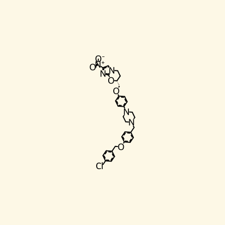 O=[N+]([O-])c1cn2c(n1)O[C@@H](COc1ccc(N3CCN(Cc4ccc(OCc5ccc(Cl)cc5)cc4)CC3)cc1)CC2